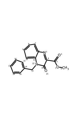 COC(=O)c1nc2ccccc2n(Cc2ccccc2)c1=O